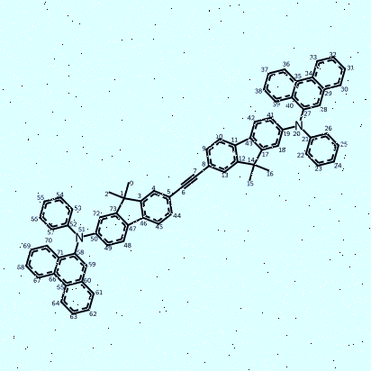 CC1(C)c2cc(C#Cc3ccc4c(c3)C(C)(C)c3cc(N(c5ccccc5)c5cc6ccccc6c6ccccc56)ccc3-4)ccc2-c2ccc(N(c3ccccc3)c3cc4ccccc4c4ccccc34)cc21